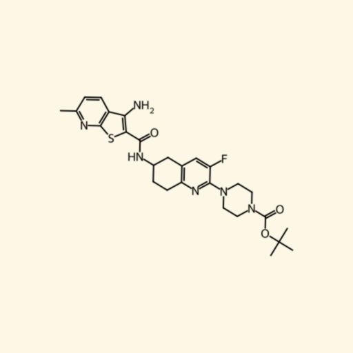 Cc1ccc2c(N)c(C(=O)NC3CCc4nc(N5CCN(C(=O)OC(C)(C)C)CC5)c(F)cc4C3)sc2n1